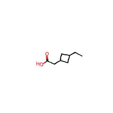 CCC1CC(CC(=O)O)C1